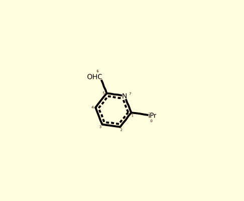 CC(C)c1cccc(C=O)n1